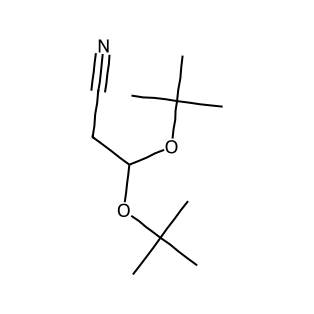 CC(C)(C)OC(CC#N)OC(C)(C)C